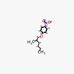 CCCCC(C)COc1ccc([N+](=O)[O-])cc1